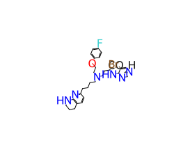 O=C(O)[C@H](CCN(CCCCc1ccc2c(n1)NCCC2)CCOc1ccc(F)cc1)Nc1ncncc1Br